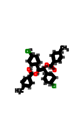 Cc1ccc(C(=O)O/C(=C(/OC(=O)c2ccc(C)cc2)c2ccc(Cl)cc2)c2ccc(Cl)cc2)cc1